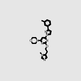 Cc1cccc(-c2ccn(-c3cc(N4CCOCC4)nc(OCCc4cncn4C)n3)n2)c1